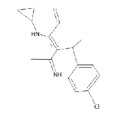 C=C/C(NC1CC1)=C(/C(C)=N)C(C)c1ccc(Cl)cc1